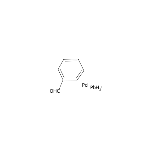 O=Cc1ccccc1.[PbH2].[Pd]